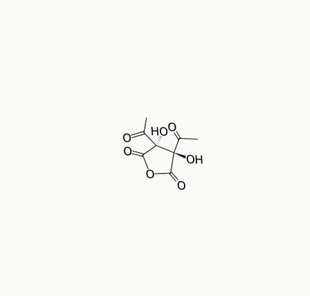 CC(=O)[C@]1(O)C(=O)OC(=O)[C@@]1(O)C(C)=O